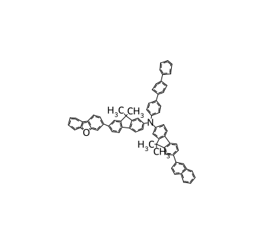 CC1(C)c2cc(-c3ccc4ccccc4c3)ccc2-c2ccc(N(c3ccc(-c4ccc(-c5ccccc5)cc4)cc3)c3ccc4c(c3)C(C)(C)c3cc(-c5ccc6c(c5)oc5ccccc56)ccc3-4)cc21